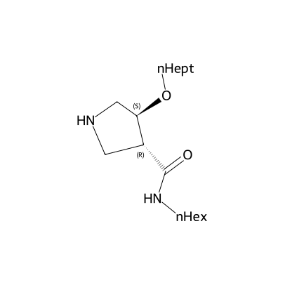 CCCCCCCO[C@@H]1CNC[C@H]1C(=O)NCCCCCC